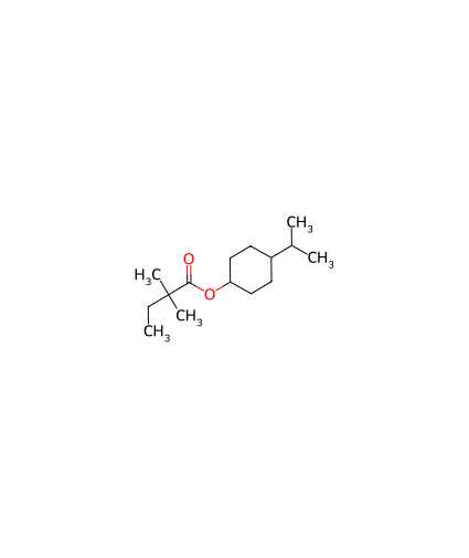 CCC(C)(C)C(=O)OC1CCC(C(C)C)CC1